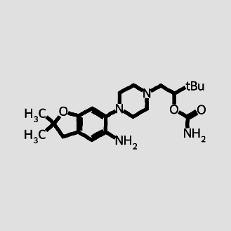 CC1(C)Cc2cc(N)c(N3CCN(CC(OC(N)=O)C(C)(C)C)CC3)cc2O1